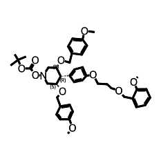 COc1ccc(CO[C@H]2CN(OC(=O)OC(C)(C)C)C[C@@H](OCc3ccc(OC)cc3)[C@H]2c2ccc(OCCCOCc3ccccc3OC)cc2)cc1